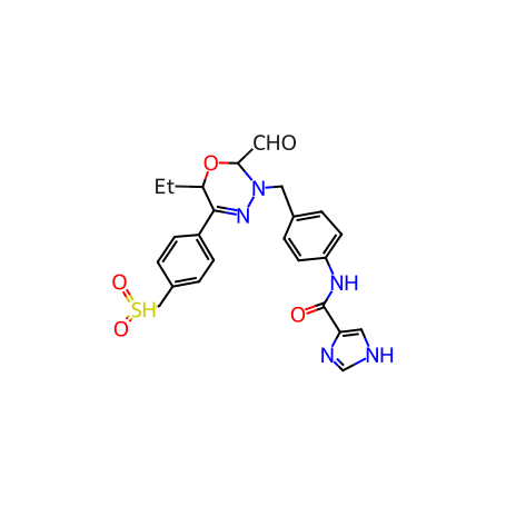 CCC1OC(C=O)N(Cc2ccc(NC(=O)c3c[nH]cn3)cc2)N=C1c1ccc(C[SH](=O)=O)cc1